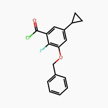 O=C(Cl)c1cc(C2CC2)cc(OCc2ccccc2)c1F